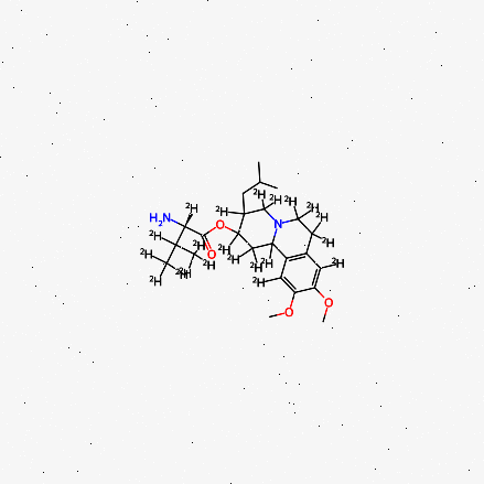 [2H]c1c(OC)c(OC)c([2H])c2c1C([2H])([2H])C([2H])([2H])N1C([2H])([2H])C([2H])(CC(C)C)C([2H])(OC(=O)[C@@]([2H])(N)C([2H])(C([2H])([2H])[2H])C([2H])([2H])[2H])C([2H])([2H])C21[2H]